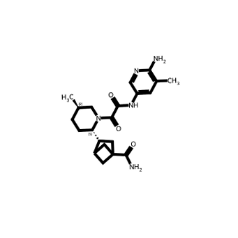 Cc1cc(NC(=O)C(=O)N2C[C@H](C)CC[C@H]2C2CC3(C(N)=O)CC2C3)cnc1N